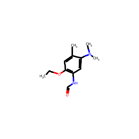 CCOc1cc(C)c(N(C)C)cc1NC=O